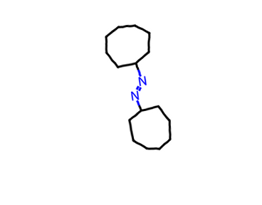 C1CCCC(N=NC2CCCCCCC2)CCC1